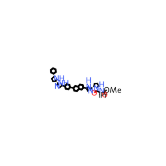 COC(=O)N[C@H](C(=O)N1CCC[C@H]1c1ncc(-c2ccc3cc(-c4ccc(C5CN=C([C@@H]6CC[C@H](c7ccccc7)N6)N5)cc4)ccc3c2)[nH]1)C(C)C